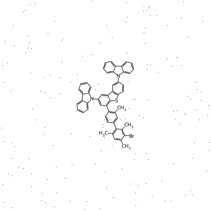 Cc1cc(-c2c(C)cc(C)c(Br)c2C)ccc1-c1cc(-n2c3ccccc3c3ccccc32)cc2c1sc1ccc(-n3c4ccccc4c4ccccc43)cc12